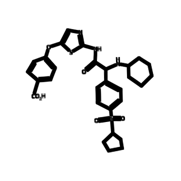 O=C(O)c1ccc(Oc2cnc(NC(=O)C(NC3CCCCC3)c3ccc(S(=O)(=O)C4CCCC4)cc3)s2)cc1